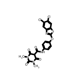 CN1C(=O)C(C(=O)Nc2ccc(Oc3nc4cc(Cl)c(Cl)cc4s3)cc2)C(=O)N(C)C1=O